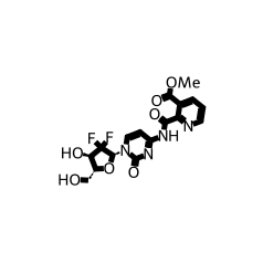 COC(=O)c1cccnc1C(=O)Nc1ccn([C@@H]2O[C@H](CO)[C@@H](O)C2(F)F)c(=O)n1